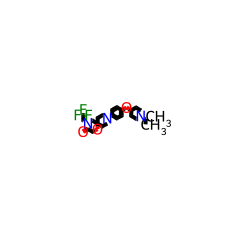 CC(C)N1CCC(Oc2ccc(N3CCC4(CC3)CN(CC(F)(F)F)C(=O)CO4)cc2)CC1